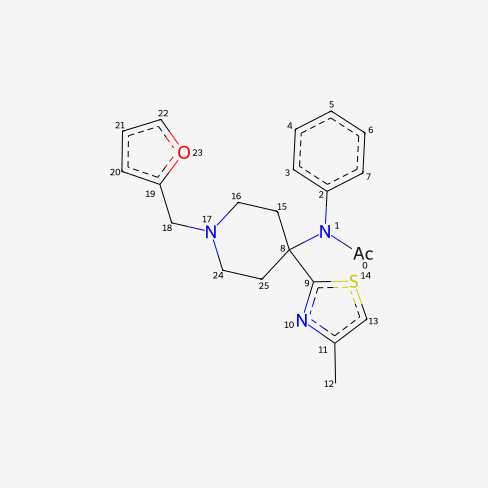 CC(=O)N(c1ccccc1)C1(c2nc(C)cs2)CCN(Cc2ccco2)CC1